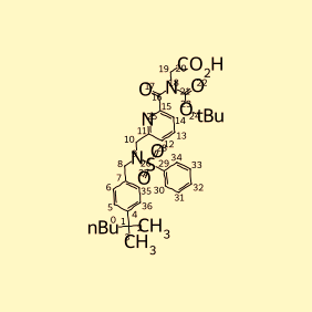 CCCCC(C)(C)c1ccc(CN(Cc2cccc(C(=O)N(CC(=O)O)C(=O)OC(C)(C)C)n2)S(=O)(=O)c2ccccc2)cc1